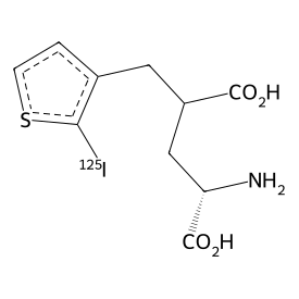 N[C@@H](CC(Cc1ccsc1[125I])C(=O)O)C(=O)O